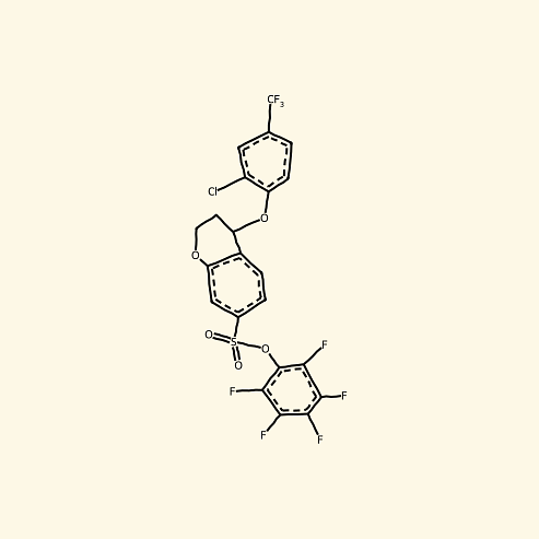 O=S(=O)(Oc1c(F)c(F)c(F)c(F)c1F)c1ccc2c(c1)OCCC2Oc1ccc(C(F)(F)F)cc1Cl